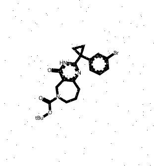 CC(C)(C)OC(=O)N1CCCc2nc(C3(c4cccc(Br)c4)CC3)[nH]c(=O)c2C1